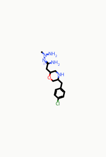 CN(N)/N=C(\N)CC1CNC(Cc2ccc(Cl)cc2)CO1